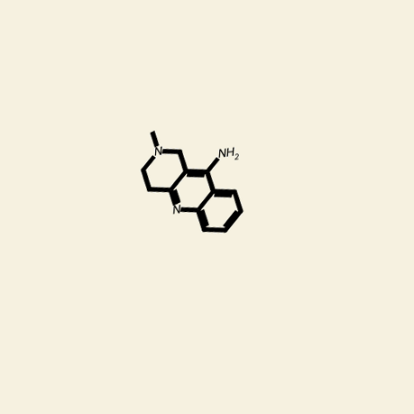 CN1CCc2nc3ccccc3c(N)c2C1